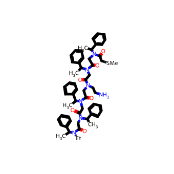 CCN(C(=O)CN(C(=O)CN(C(=O)CN(CCN)C(=O)CN(C(=O)CN(C(=O)CSC)C(C)c1ccccc1)C(C)c1ccccc1)C(C)c1ccccc1)C(C)c1ccccc1)C(C)c1ccccc1